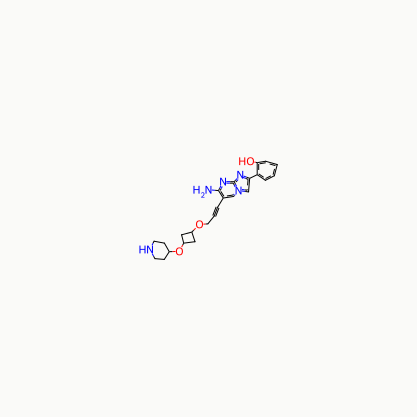 Nc1nc2nc(-c3ccccc3O)cn2cc1C#CCOC1CC(OC2CCNCC2)C1